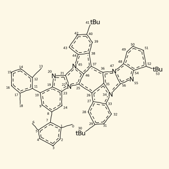 Cc1cccc(C)c1-c1cc(-c2c(C)cccc2C)c2nc3n(c2c1)c1c2c4cc(C(C)(C)C)ccc4n4c2c(c2c5cc(C(C)(C)C)ccc5n3c21)n1c2cccc(C(C)(C)C)c2nc14